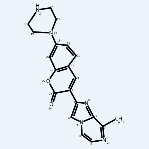 Cc1nccn2cc(-c3cc4ccc(N5CCNCC5)cc4oc3=O)nc12